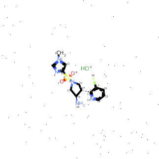 Cl.Cn1cnc(S(=O)(=O)N2C[C@H](c3ncccc3F)[C@@H](N)C2)c1